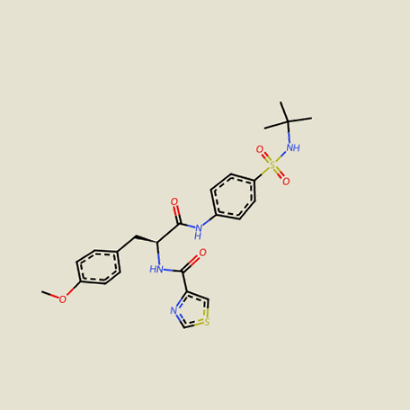 COc1ccc(C[C@H](NC(=O)c2cscn2)C(=O)Nc2ccc(S(=O)(=O)NC(C)(C)C)cc2)cc1